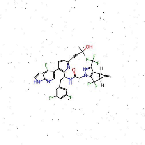 C=C1[C@@H]2c3c(C(F)(F)F)nn(CC(=O)N[C@@H](Cc4cc(F)cc(F)c4)c4nc(C#CC(C)(C)O)ccc4-c4cnc5[nH]ccc5c4F)c3C(F)(F)[C@H]12